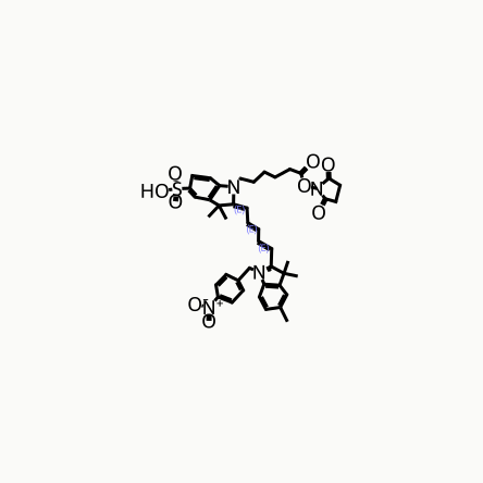 Cc1ccc2c(c1)C(C)(C)C(/C=C/C=C/C=C1/N(CCCCCC(=O)ON3C(=O)CCC3=O)c3ccc(S(=O)(=O)O)cc3C1(C)C)=[N+]2Cc1ccc([N+](=O)[O-])cc1